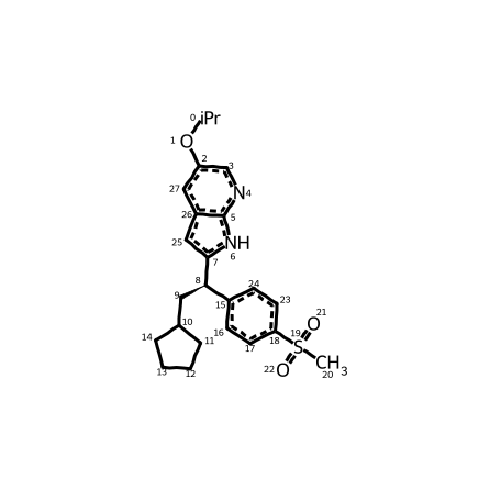 CC(C)Oc1cnc2[nH]c([C@H](CC3CCCC3)c3ccc(S(C)(=O)=O)cc3)cc2c1